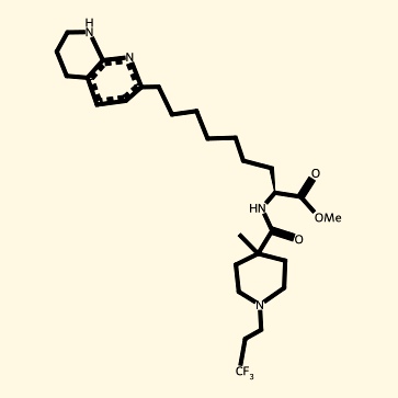 COC(=O)[C@H](CCCCCCCc1ccc2c(n1)NCCC2)NC(=O)C1(C)CCN(CCC(F)(F)F)CC1